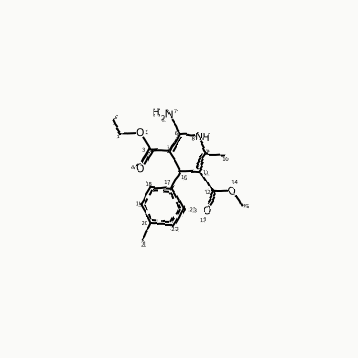 CCOC(=O)C1=C(N)NC(C)=C(C(=O)OC)C1c1ccc(C)cc1